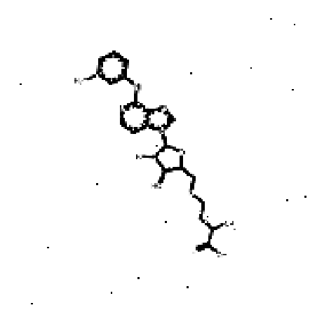 Cc1cccc(Nc2nccc3c2ncn3C2OC(CSCCC(N)C(=O)O)C(O)C2O)c1